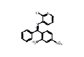 Nc1cc([N+](=O)[O-])ccc1/C(=N\c1cccnc1Cl)c1ccccc1